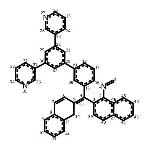 C=Nc1c(/C(=C2/C=Cc3ccccc3C2)c2cccc(-c3cc(-c4cccnc4)cc(-c4cccnc4)c3)c2)ccc2ccccc12